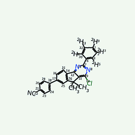 [2H]c1c([2H])c([2H])c(-c2nc(Cl)c3c(n2)-c2ccc(-c4ccc(C#N)cc4)cc2C3(C)C)c([2H])c1[2H]